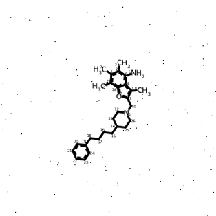 Cc1c(C)c(N)c2c(C)c(CN3CCC(CCCCc4ccccc4)CC3)oc2c1C